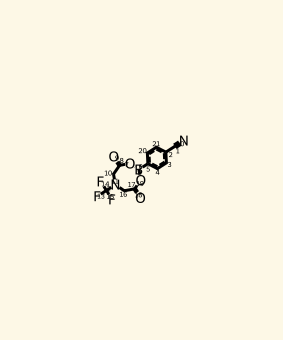 N#Cc1ccc(B2OC(=O)CN(C(F)(F)F)CC(=O)O2)cc1